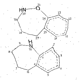 c1ccc2c(c1)CCCCN2.c1ccc2c(c1)CCCNO2